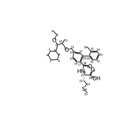 CCOC(C1CCCCC1)C(C)OCc1ccc(C(=O)N[C@@H](CCSC)C(=O)O)c(-c2ccccc2C)c1